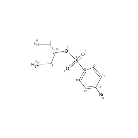 [2H]C[C@@H](CC)OS(=O)(=O)c1ccc(Br)cc1